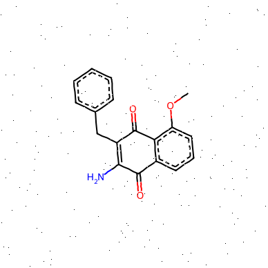 COc1cccc2c1C(=O)C(Cc1ccccc1)=C(N)C2=O